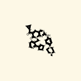 CN1CCN(c2ccc(Nc3ncc4cc(C(=O)C5CC5)c(=O)n(Cc5cccnc5C5=CCCC5)c4n3)cc2)CC1